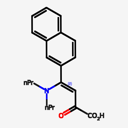 CCCN(CCC)/C(=C\C(=O)C(=O)O)c1ccc2ccccc2c1